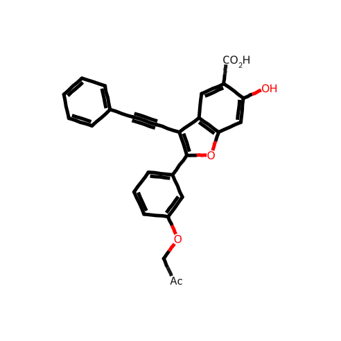 CC(=O)COc1cccc(-c2oc3cc(O)c(C(=O)O)cc3c2C#Cc2ccccc2)c1